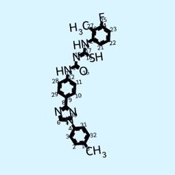 Cc1ccc(-n2cnc(-c3ccc(NC(=O)/N=C(\S)Nc4cccc(F)c4C)cc3)n2)cc1